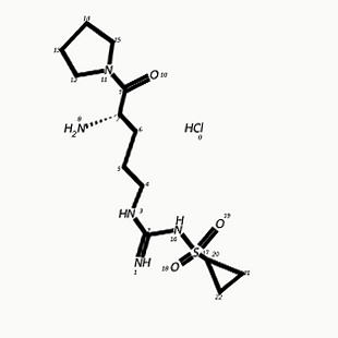 Cl.N=C(NCCC[C@H](N)C(=O)N1CCCC1)NS(=O)(=O)C1CC1